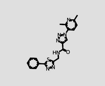 Cc1ccc(-n2cc(C(=O)NCc3nnc(-c4ccccc4)s3)nn2)c(C)n1